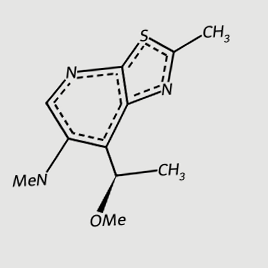 CNc1cnc2sc(C)nc2c1[C@@H](C)OC